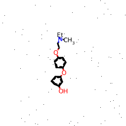 CCN(C)CCOc1ccc(Oc2cccc(O)c2)cc1